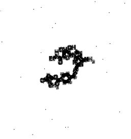 CCNC(=O)[C@H]1O[C@@H](n2cnc3c(N)nc(C#CCC4CCN(C(=O)OC5CC(=O)N5C)CC4)nc32)[C@@H](O)C1O